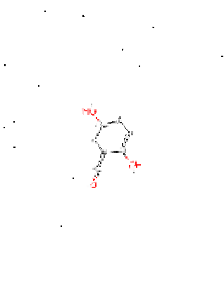 O=C=C1CC(O)=CC=C1O